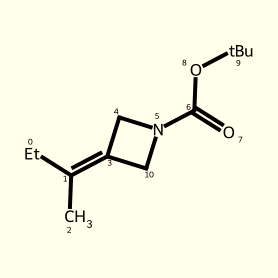 CCC(C)=C1CN(C(=O)OC(C)(C)C)C1